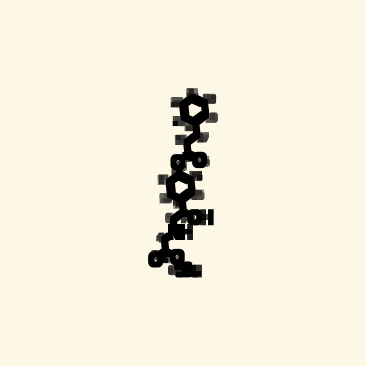 CC(C)(C)OC(=O)CNCC(O)c1ccc(OC(=O)CCc2ccccc2)cc1